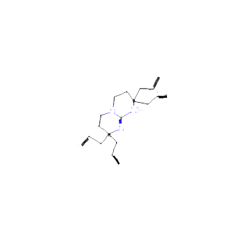 C=CCC1(CC=C)CCN2CCC(CC=C)(CC=C)NC2=N1